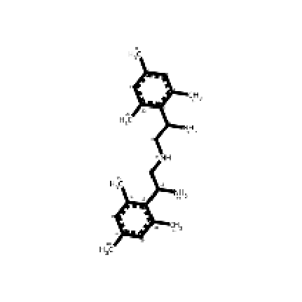 Cc1cc(C)c(C(N)CNCC(N)c2c(C)cc(C)cc2C)c(C)c1